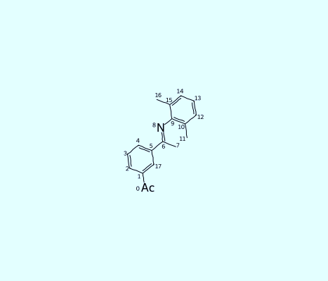 CC(=O)c1cccc(/C(C)=N/c2c(C)cccc2C)c1